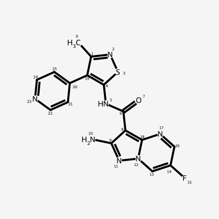 Cc1nsc(NC(=O)c2c(N)nn3cc(F)cnc23)c1-c1ccncc1